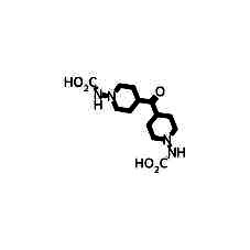 O=C(O)NN1CCC(C(=O)C2CCN(NC(=O)O)CC2)CC1